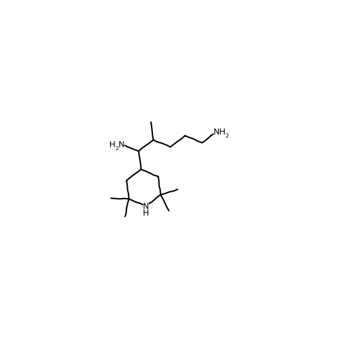 CC(CCCN)C(N)C1CC(C)(C)NC(C)(C)C1